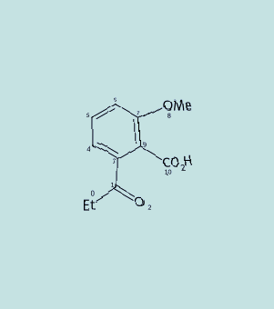 CCC(=O)c1cccc(OC)c1C(=O)O